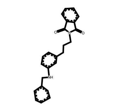 O=C1c2ccccc2C(=O)N1CCCc1cccc(NCc2ccccc2)c1